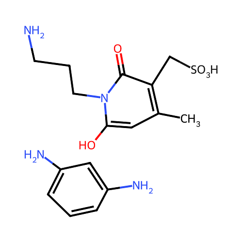 Cc1cc(O)n(CCCN)c(=O)c1CS(=O)(=O)O.Nc1cccc(N)c1